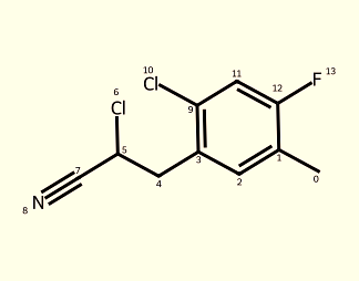 Cc1cc(CC(Cl)C#N)c(Cl)cc1F